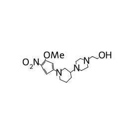 COc1cc(N2CCCC(N3CCN(CCO)CC3)C2)ccc1[N+](=O)[O-]